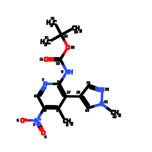 Cc1c([N+](=O)[O-])cnc(NC(=O)OC(C)(C)C)c1-c1cnn(C)c1